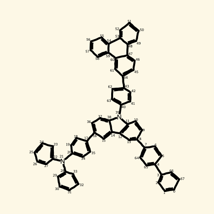 c1ccc(-c2ccc(-c3ccc4c(c3)c3cc(-c5ccc(N(c6ccccc6)c6ccccc6)cc5)ccc3n4-c3ccc(-c4ccc5c6ccccc6c6ccccc6c5c4)cc3)cc2)cc1